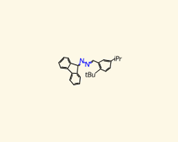 CC(C)c1ccc(C(C)(C)C)c(/C=N/N=C2c3ccccc3-c3ccccc32)c1